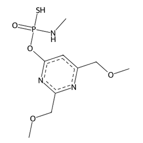 CNP(=O)(S)Oc1cc(COC)nc(COC)n1